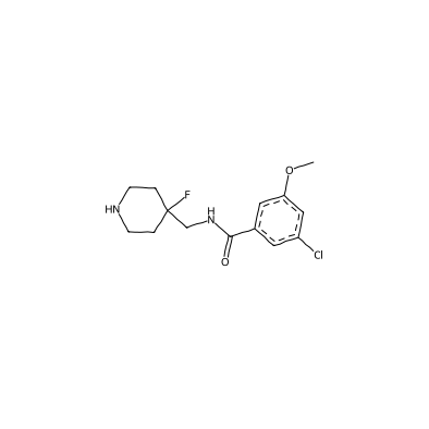 COc1cc(Cl)cc(C(=O)NCC2(F)CCNCC2)c1